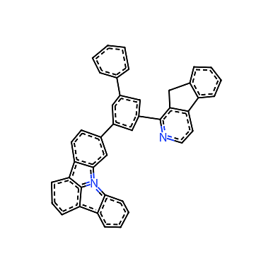 c1ccc(-c2cc(-c3ccc4c5cccc6c7ccccc7n(c4c3)c65)cc(-c3nccc4c3Cc3ccccc3-4)c2)cc1